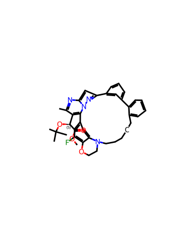 COC(=O)[C@@H](OC(C)(C)C)c1c(C)nc2cc3nn2c1-c1cc(F)c2c(c1)N(CCCCCc1ccccc1-c1cccc-3c1)CCO2